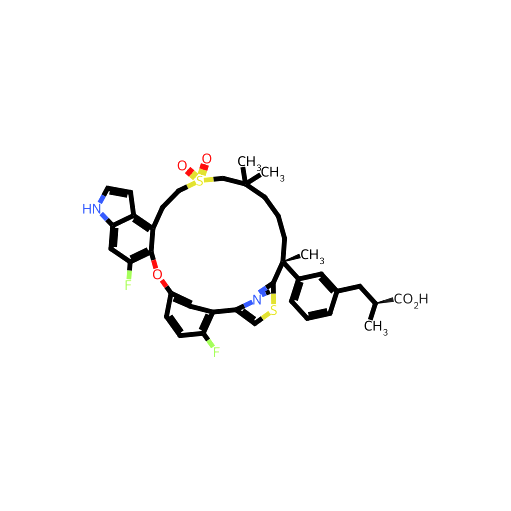 C[C@@H](Cc1cccc([C@@]2(C)CCCC(C)(C)CS(=O)(=O)CCc3c(c(F)cc4[nH]ccc34)Oc3ccc(F)c(c3)-c3csc2n3)c1)C(=O)O